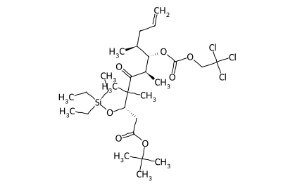 C=CC[C@H](C)[C@H](OC(=O)OCC(Cl)(Cl)Cl)[C@@H](C)C(=O)C(C)(C)[C@H](CC(=O)OC(C)(C)C)O[Si](CC)(CC)CC